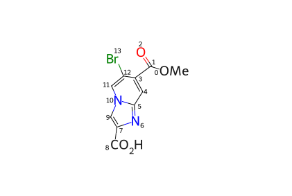 COC(=O)c1cc2nc(C(=O)O)cn2cc1Br